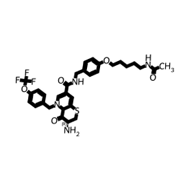 CC(=O)NCCCCCOc1ccc(CNC(=O)C2=CN(Cc3ccc(OC(F)(F)F)cc3)C3C(=O)[C@@H](N)CSC3=C2)cc1